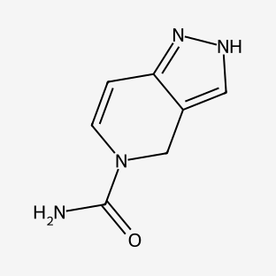 NC(=O)N1C=Cc2n[nH]cc2C1